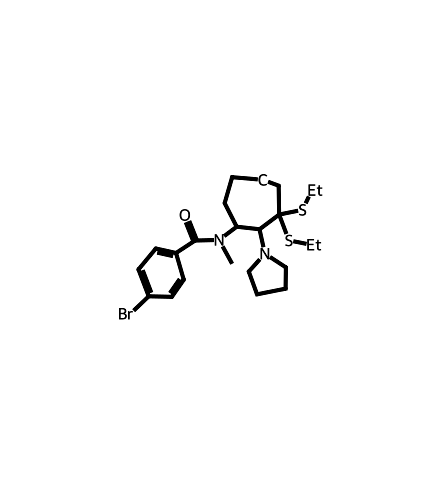 CCSC1(SCC)CCCCC(N(C)C(=O)c2ccc(Br)cc2)C1N1CCCC1